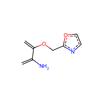 C=C(N)C(=C)OCc1ncco1